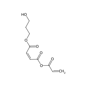 C=CC(=O)OC(=O)/C=C\C(=O)OCCCO